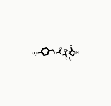 CC(C)(OC(=O)OCc1ccc([N+](=O)[O-])cc1)[C@H]1[CH]NC1=O